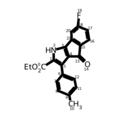 CCOC(=O)c1[nH]c2c(c1-c1ccc(C)cc1)C(=O)c1ccc(F)cc1-2